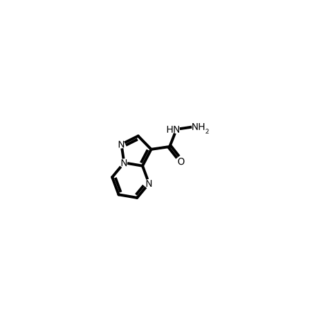 NNC(=O)c1cnn2cccnc12